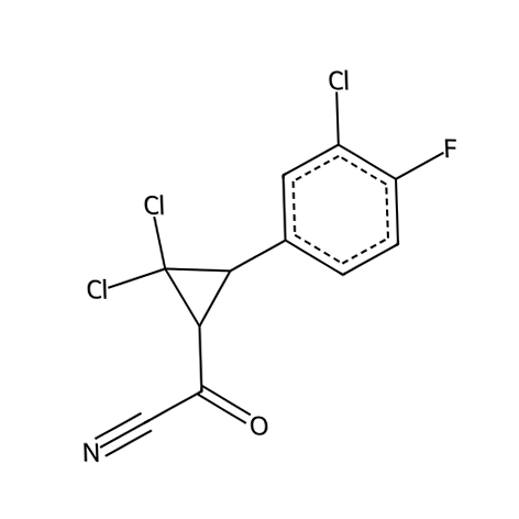 N#CC(=O)C1C(c2ccc(F)c(Cl)c2)C1(Cl)Cl